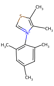 Cc1cc(C)c(-[n+]2csc(C)c2C)c(C)c1